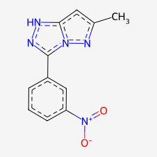 Cc1cc2[nH]nc(-c3cccc([N+](=O)[O-])c3)n2n1